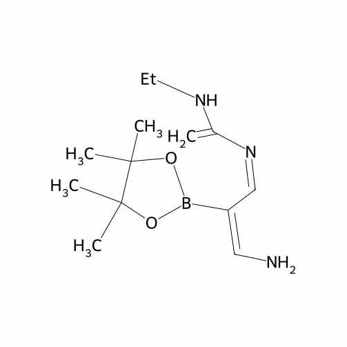 C=C(/N=C\C(=C/N)B1OC(C)(C)C(C)(C)O1)NCC